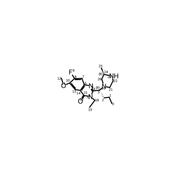 CCC[C@H](c1nc2cc(F)c(OC)cc2c(=O)n1CC)N1CCN[C@H](C)C1